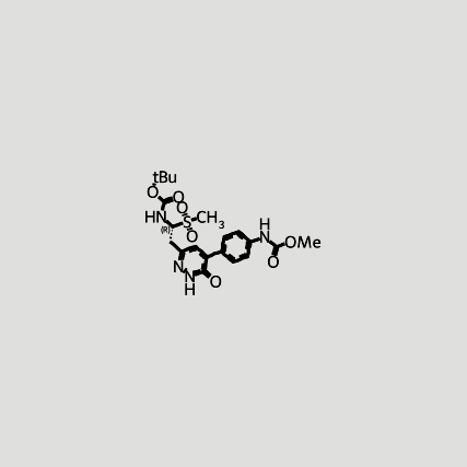 COC(=O)Nc1ccc(-c2cc(C[C@H](NC(=O)OC(C)(C)C)S(C)(=O)=O)n[nH]c2=O)cc1